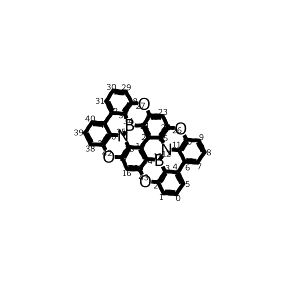 c1cc2c3c(c1)-c1cccc4c1N1B3c3c(cc5c6c3-c3c7c(cc(c31)O4)Oc1cccc3c1B7N6c1c(cccc1-3)O5)O2